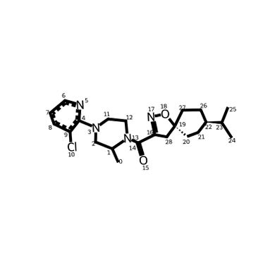 CC1CN(c2ncccc2Cl)CCN1C(=O)C1=NO[C@]2(CC[C@H](C(C)C)CC2)C1